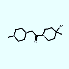 CC(=O)C1(C)CCN(C(=O)CN2CCN(C)CC2)CC1